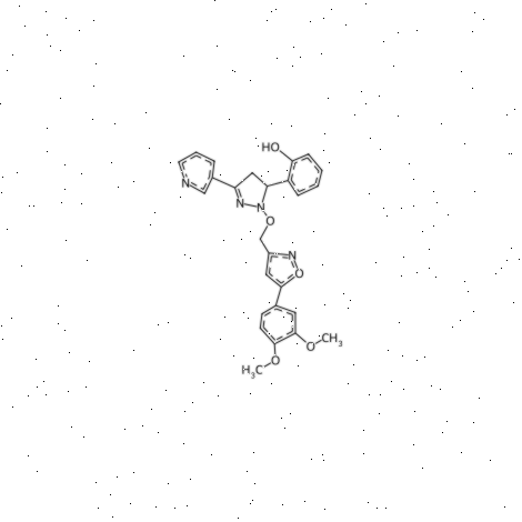 COc1ccc(-c2cc(CON3N=C(c4cccnc4)CC3c3ccccc3O)no2)cc1OC